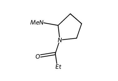 CCC(=O)N1CCCC1NC